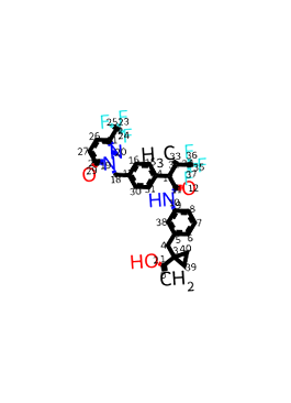 C=C(O)C1(Cc2cccc(NC(=O)C(c3ccc(Cn4nc(C(F)(F)F)ccc4=O)cc3)C(C)C(F)(F)F)c2)CC1